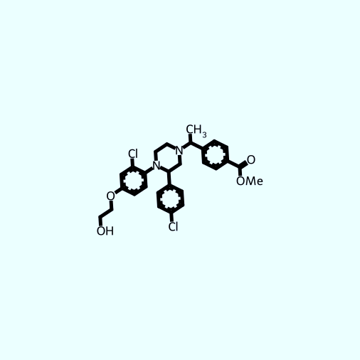 COC(=O)c1ccc(C(C)N2CCN(c3ccc(OCCO)cc3Cl)C(c3ccc(Cl)cc3)C2)cc1